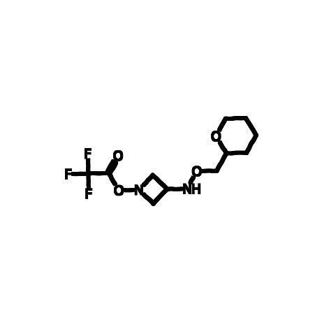 O=C(ON1CC(NOCC2CCCCO2)C1)C(F)(F)F